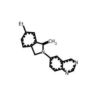 C=C1c2cc(CC)ccc2CN1c1ccc2ncncc2c1